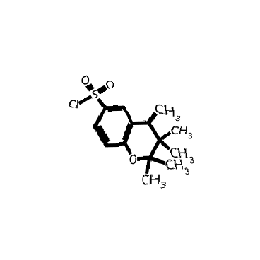 CC1c2cc(S(=O)(=O)Cl)ccc2OC(C)(C)C1(C)C